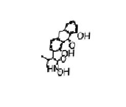 CC(C)C(C(=O)NO)c1ccc2c(c1O)C(=O)c1c(O)cccc1C2